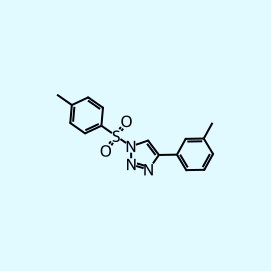 Cc1ccc(S(=O)(=O)n2cc(-c3cccc(C)c3)nn2)cc1